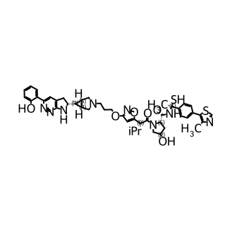 Cc1ncsc1-c1ccc([C@](C)(S)NC(=O)[C@@H]2C[C@@H](O)CN2C(=O)[C@@H](c2cc(OCCCN3C[C@@H]4[C@H](C3)[C@H]4C3Cc4cc(-c5ccccc5O)nnc4N3)no2)C(C)C)cc1